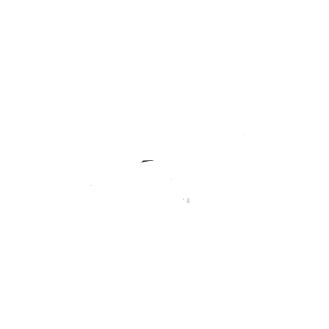 C=CCC[C@@H](COCC)S(N)(=O)=O